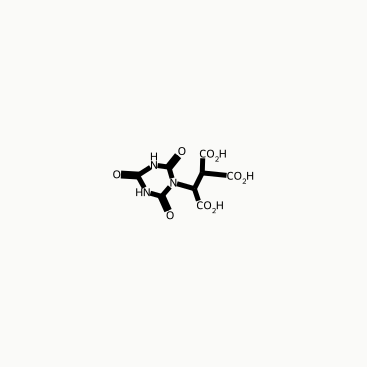 O=C(O)C(C(=O)O)C(C(=O)O)n1c(=O)[nH]c(=O)[nH]c1=O